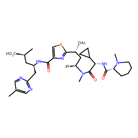 CC(=O)O[C@H](C[C@H](C(C)C)N(C)C(=O)[C@@H](NC(=O)[C@H]1CCCCN1C)C1CC1)c1nc(C(=O)N[C@@H](Cc2ncc(C)cn2)C[C@H](C)C(=O)O)cs1